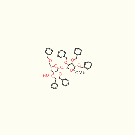 CO[C@H]1O[C@H](CO[C@H]2O[C@H](COCc3ccccc3)[C@@H](CO)[C@H](OCc3ccccc3)[C@H]2OCc2ccccc2)[C@@H](OCc2ccccc2)[C@H](OCc2ccccc2)[C@H]1OCc1ccccc1